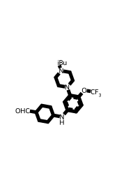 CCC(C)N1CCN(c2cc(NC3CCC(C=O)CC3)ccc2OC(F)(F)F)CC1